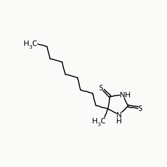 CCCCCCCCCC1(C)NC(=S)NC1=S